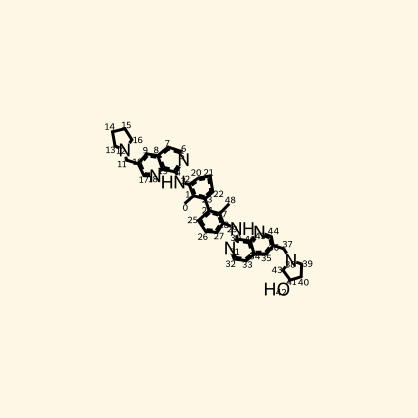 Cc1c(Nc2nccc3cc(CN4CCCC4)cnc23)cccc1-c1cccc(Nc2nccc3cc(CN4CC[C@H](O)C4)cnc23)c1C